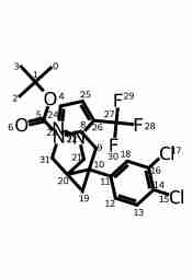 CC(C)(C)OC(=O)N1CCC2(c3ccc(Cl)c(Cl)c3)CC2(Cn2nccc2C(F)(F)F)C1